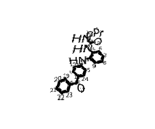 CCCNC(=O)Nc1ccccc1Nc1ccc(C(=O)c2ccccc2)cc1